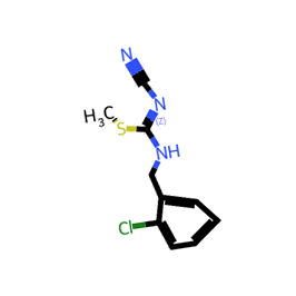 CS/C(=N\C#N)NCc1ccccc1Cl